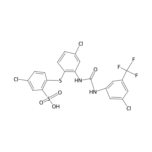 O=C(Nc1cc(Cl)cc(C(F)(F)F)c1)Nc1cc(Cl)ccc1Sc1ccc(Cl)cc1S(=O)(=O)O